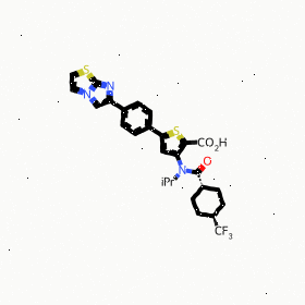 CC(C)N(c1cc(-c2ccc(-c3cn4ccsc4n3)cc2)sc1C(=O)O)C(=O)[C@H]1CC[C@H](C(F)(F)F)CC1